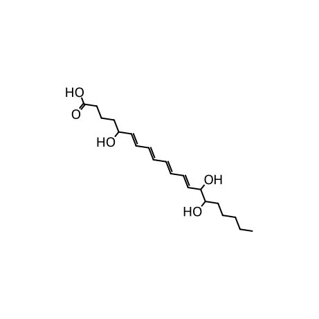 CCCCCC(O)C(O)C=CC=CC=CC=CC(O)CCCC(=O)O